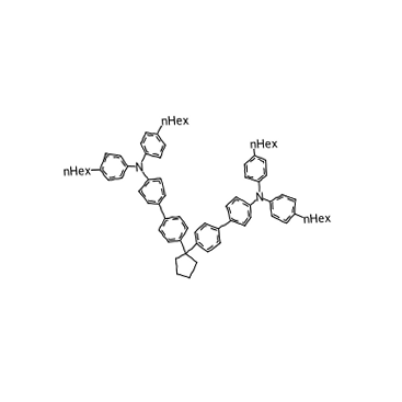 CCCCCCc1ccc(N(c2ccc(CCCCCC)cc2)c2ccc(-c3ccc(C4(c5ccc(-c6ccc(N(c7ccc(CCCCCC)cc7)c7ccc(CCCCCC)cc7)cc6)cc5)CCCC4)cc3)cc2)cc1